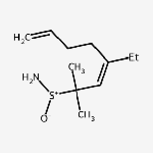 C=CCCC(=CC(C)(C)[S+](N)[O-])CC